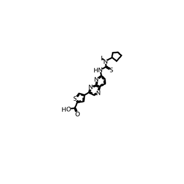 O=C(O)c1cc(-c2cnc3ccc(NC(=S)N(I)C4CCCC4)nc3n2)cs1